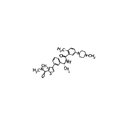 Cc1ccc(N2CCN(C)CC2)cc1C(=O)N[C@H](C)c1cccc(-c2csc(C(=O)N(C)C)c2)c1